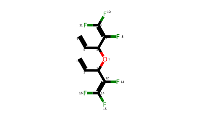 C=CC(OC(C=C)C(F)=C(F)F)C(F)=C(F)F